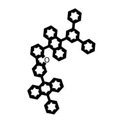 c1ccc(-c2cc(-c3ccccc3)cc(-c3c4ccccc4c(-c4cccc5c4oc4cc(-c6c7ccccc7c(-c7ccccc7)c7ccccc67)ccc45)c4ccccc34)c2)cc1